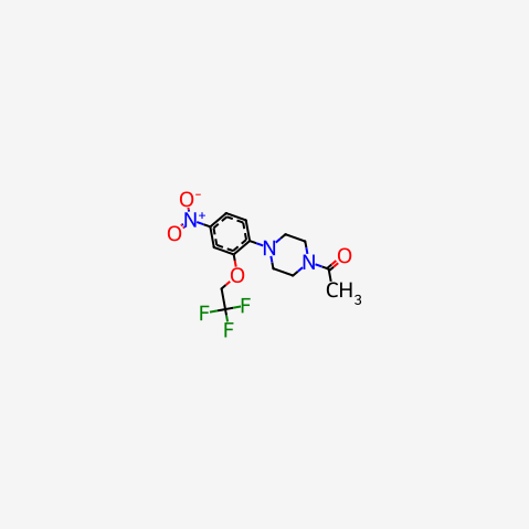 CC(=O)N1CCN(c2ccc([N+](=O)[O-])cc2OCC(F)(F)F)CC1